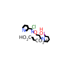 O=C(O)C=CC(=O)O.OC(CON=C(Cl)c1cccnc1)CN1CCCCC1I